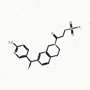 O=C(CCS(=O)(=O)C(F)(F)F)N1CCc2ccc(C(F)c3ccc(C(F)(F)F)nc3)cc2C1